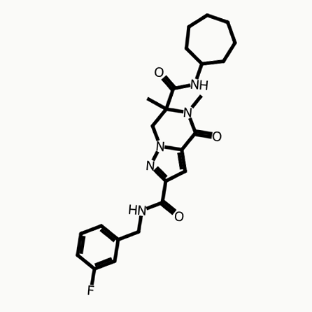 CN1C(=O)c2cc(C(=O)NCc3cccc(F)c3)nn2CC1(C)C(=O)NC1CCCCCC1